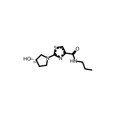 CCCNC(=O)c1csc(N2CC[C@H](O)C2)n1